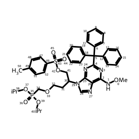 CONc1nc(C(c2ccccc2)(c2ccccc2)c2ccccc2)nc2c1ncn2C(CCOCP(=O)(OC(C)C)OC(C)C)COS(=O)(=O)c1ccc(C)cc1